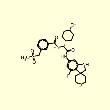 CS(=O)(=O)Cc1cccc(C(=O)NC(C(=O)Nc2cc(F)c3c(c2)NCC32CCOCC2)[C@H]2CC[C@H](C)CC2)c1